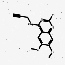 C#CCNc1nc(Cl)nc2cc(OC)c(OC)cc12